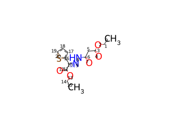 CCOC(=O)CC(=O)N/N=C(/C(=O)OCC)c1cccs1